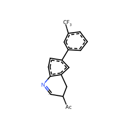 CC(=O)C1[C]=Nc2ccc(-c3cccc(C(F)(F)F)c3)cc2C1